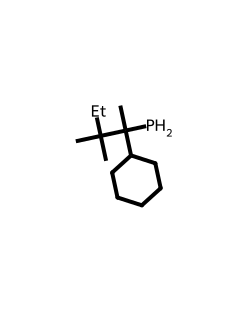 CCC(C)(C)C(C)(P)C1CCCCC1